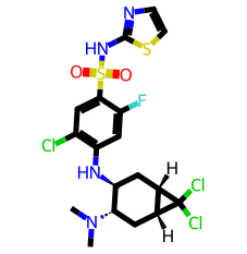 CN(C)[C@H]1C[C@@H]2[C@H](C[C@@H]1Nc1cc(F)c(S(=O)(=O)Nc3nccs3)cc1Cl)C2(Cl)Cl